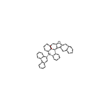 c1ccc(N(c2ccccc2-c2cccc3oc4cc5ccccc5cc4c23)c2cc3ccccc3c3ccccc23)cc1